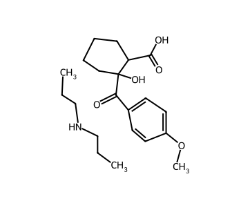 CCCNCCC.COc1ccc(C(=O)C2(O)CCCCC2C(=O)O)cc1